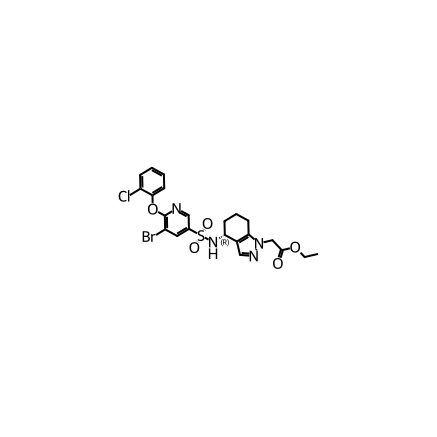 CCOC(=O)Cn1ncc2c1CCC[C@H]2NS(=O)(=O)c1cnc(Oc2ccccc2Cl)c(Br)c1